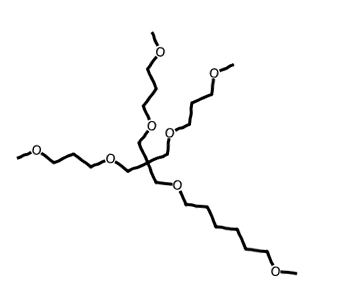 COCCCCCCOCC(COCCCOC)(COCCCOC)COCCCOC